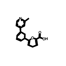 Cc1cc(C2=CC=CC(C3=CCC=C(C(=O)O)O3)C2)ccn1